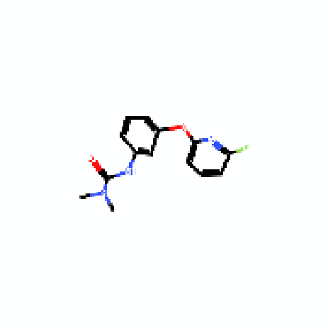 CN(C)C(=O)Nc1cccc(Oc2cccc(F)n2)c1